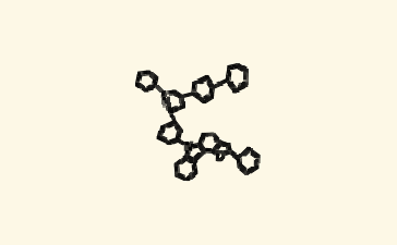 c1ccc(-c2ccc(-c3cc(-c4ccccc4)nc(-c4cccc(-n5c6ccccc6c6c7oc(-c8ccccc8)cc7ccc65)c4)c3)cc2)cc1